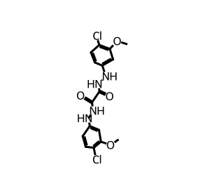 COc1cc(NNC(=O)C(=O)NNc2ccc(Cl)c(OC)c2)ccc1Cl